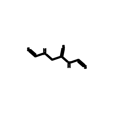 S=CNCC(=S)NC=S